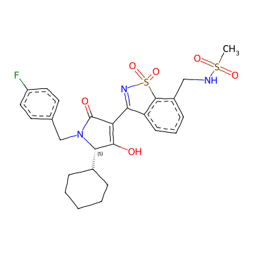 CS(=O)(=O)NCc1cccc2c1S(=O)(=O)N=C2C1=C(O)[C@H](C2CCCCC2)N(Cc2ccc(F)cc2)C1=O